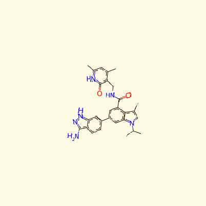 Cc1cc(C)c(CNC(=O)c2cc(-c3ccc4c(N)n[nH]c4c3)cc3c2c(C)cn3C(C)C)c(=O)[nH]1